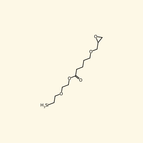 O=C(CCCCOCC1CO1)OCCOCC[SiH3]